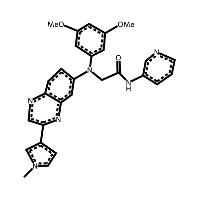 COc1cc(OC)cc(N(CC(=O)Nc2cccnc2)c2ccc3ncc(-c4ccn(C)c4)nc3c2)c1